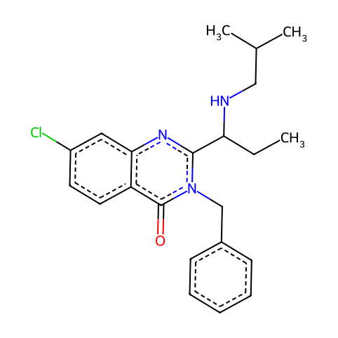 CCC(NCC(C)C)c1nc2cc(Cl)ccc2c(=O)n1Cc1ccccc1